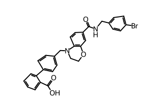 O=C(NCc1ccc(Br)cc1)c1ccc2c(c1)OCCN2Cc1ccc(-c2ccccc2C(=O)O)cc1